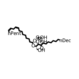 CCCCC/C=C\C/C=C\CCCCCCCC(=O)O[C@@H](CO)C(OP(=O)(O)O)C(=O)CCCCCCCCCCCCCCCCC